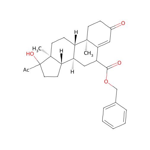 CC(=O)C1(O)CC[C@H]2[C@@H]3CC(C(=O)OCc4ccccc4)C4=CC(=O)CC[C@]4(C)[C@H]3CC[C@@]21C